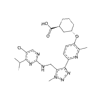 Cc1nc(-c2nnn(C)c2CNc2ncc(Cl)c(C(C)C)n2)ccc1O[C@H]1CCC[C@H](C(=O)O)C1